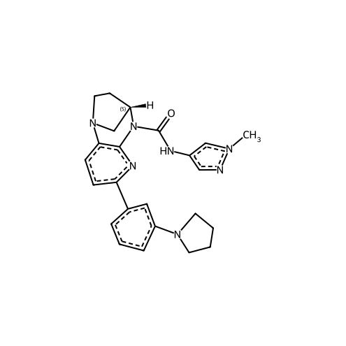 Cn1cc(NC(=O)N2c3nc(-c4cccc(N5CCCC5)c4)ccc3N3CC[C@H]2C3)cn1